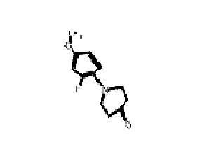 O=C1CCN(c2ccc(OC(F)(F)F)cc2F)CC1